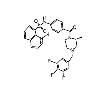 C/C=C\c1cccc(S(=O)(=O)Nc2ccc(C(=O)N3CCN(Cc4cc(F)c(F)c(F)c4)C[C@@H]3C)cc2)c1NI